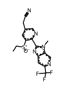 CC[S+]([O-])c1cc(CC#N)cnc1-c1nc2cc(C(F)(F)F)ncc2n1C